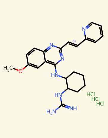 COc1ccc2nc(/C=C/c3ccccn3)nc(NC3CCCCC3NC(=N)N)c2c1.Cl.Cl.Cl